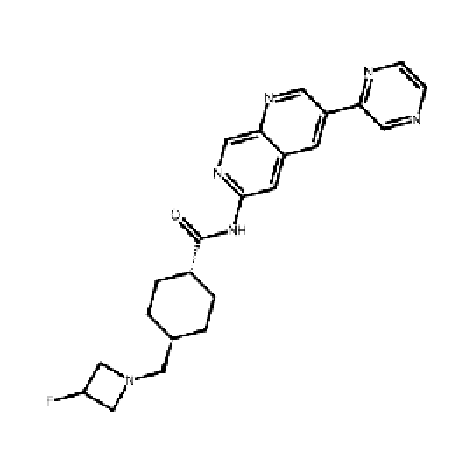 O=C(Nc1cc2cc(-c3cnccn3)cnc2cn1)[C@H]1CC[C@H](CN2CC(F)C2)CC1